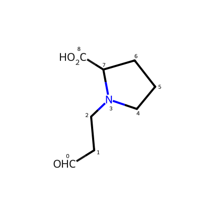 O=CCCN1CCCC1C(=O)O